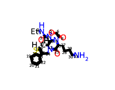 CCNC(=O)N1OCC(=O)N2[C@@H]1[C@H](C)N(Cc1csc3ccccc13)C(=O)[C@@H]2CCCCN